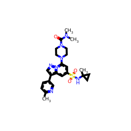 Cc1ccc(-c2cnn3c(N4CCN(C(=O)N(C)C)CC4)cc(S(=O)(=O)NC4(C)CC4)cc23)cn1